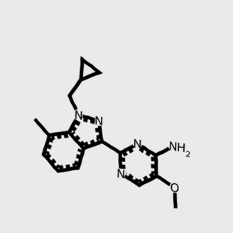 COc1cnc(-c2nn(CC3CC3)c3c(C)cccc23)nc1N